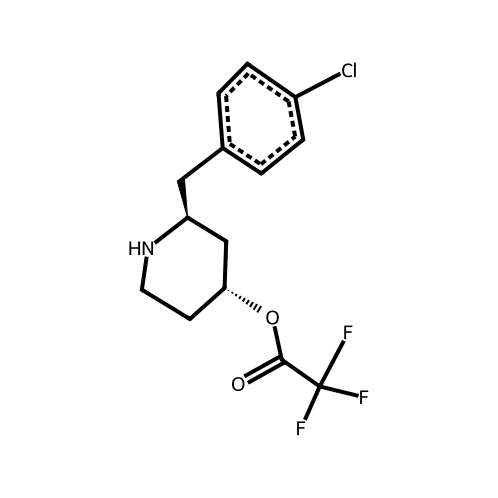 O=C(O[C@@H]1CCN[C@@H](Cc2ccc(Cl)cc2)C1)C(F)(F)F